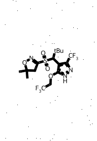 CC1(C)CC(S(=O)(=O)C(c2c(C(F)(F)F)n[nH]c2OCC(F)(F)F)C(C)(C)C)=NO1